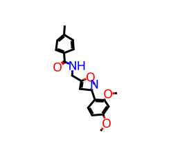 COc1ccc(-c2cc(CNC(=O)c3ccc(C)cc3)on2)c(OC)c1